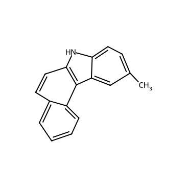 Cc1ccc2[nH]c3ccc4ccccc4c3c2c1